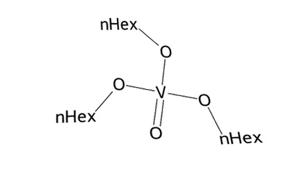 CCCCCC[O][V](=[O])([O]CCCCCC)[O]CCCCCC